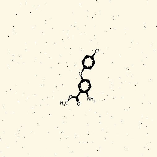 COC(=O)c1cc(Oc2ccc(Cl)cc2)ccc1N